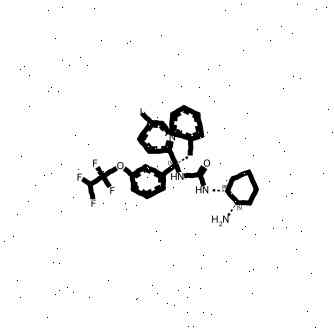 N[C@H]1CCCC[C@H]1NC(=O)N[C@@](Cc1ccccc1)(c1cccc(OC(F)(F)C(F)F)c1)c1ccc(I)cn1